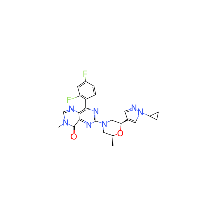 C[C@H]1CN(c2nc(-c3ccc(F)cc3F)c3ncn(C)c(=O)c3n2)C[C@@H](c2cnn(C3CC3)c2)O1